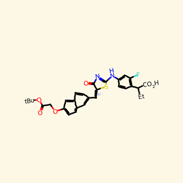 CCC(C(=O)O)c1ccc(NC2=NC(=O)/C(=C\c3ccc4cc(OCC(=O)OC(C)(C)C)ccc4c3)S2)cc1F